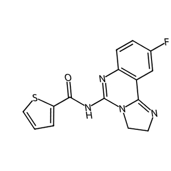 O=C(NC1=Nc2ccc(F)cc2C2=NCCN12)c1cccs1